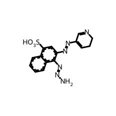 NN=Nc1c(/N=N/C2=CCCN=C2)cc(S(=O)(=O)O)c2ccccc12